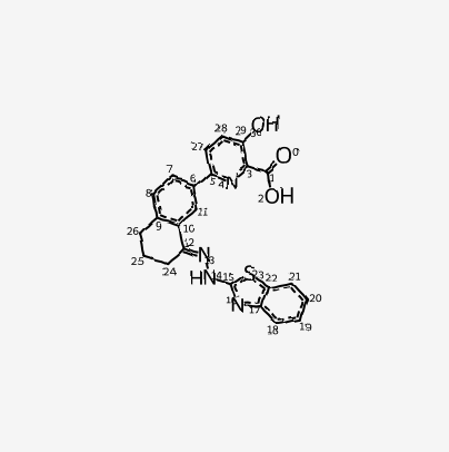 O=C(O)c1nc(-c2ccc3c(c2)C(=NNc2nc4ccccc4s2)CCC3)ccc1O